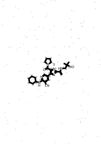 C=C(NCC(C)(C)N=O)c1nc(C(=O)N2CCC[C@@H]2C)c(-c2cnc(NC3CCCCC3)c(C#N)c2)s1